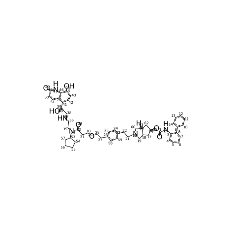 O=C(Nc1ccccc1-c1ccccc1)O[C@H]1CC2CN(CCc3ccc(CCOCCC(=O)N(CCNC[C@H](O)c4ccc(O)c5[nH]c(=O)ccc45)C4CCCC4)cc3)C[C@@H]2C1